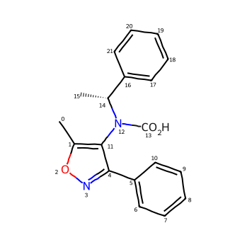 Cc1onc(-c2ccccc2)c1N(C(=O)O)[C@H](C)c1ccccc1